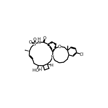 C[C@@H]1/C=C/CC(O)[C@@H]2CC[C@H]2CN2CCCCC3C=C(Cl)C=CC3(C)COc3ccc(cc32)C(=O)NS(=O)(=O)C1